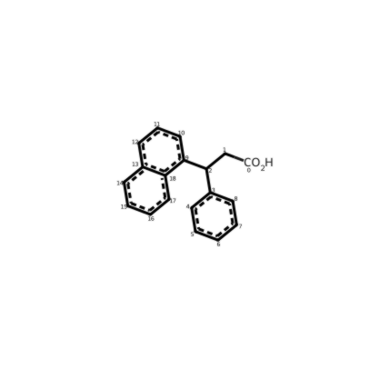 O=C(O)CC(c1ccccc1)c1cccc2ccccc12